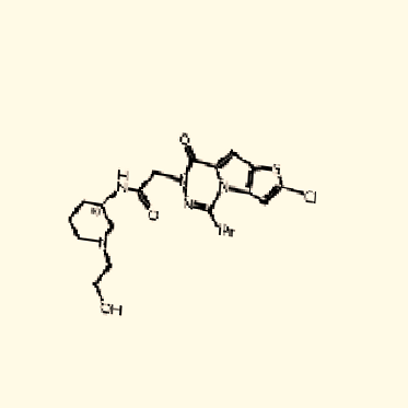 CC(C)c1nn(CC(=O)N[C@@H]2CCCN(CCO)C2)c(=O)c2cc3sc(Cl)cc3n12